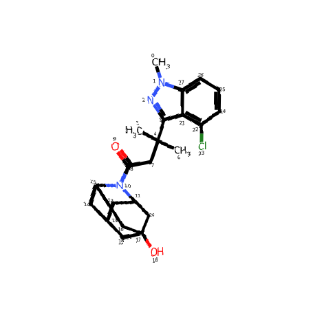 Cn1nc(C(C)(C)CC(=O)N2C3CC4CC2CC(O)(C4)C3)c2c(Cl)cccc21